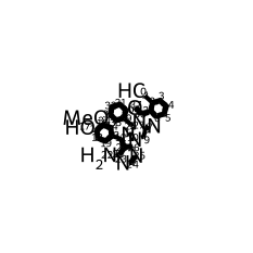 C#Cc1cccc2nc(Cn3nc(-c4ccc(O)cc4)c4c(N)ncnc43)n(Cc3cccc(OC)c3)c(=O)c12